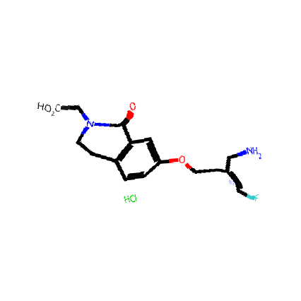 Cl.NC/C(=C\F)COc1ccc2c(c1)C(=O)N(CC(=O)O)CC2